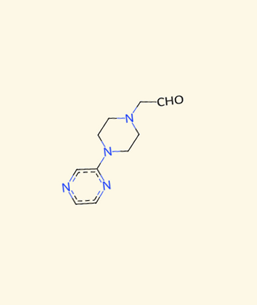 O=CCN1CCN(c2cnccn2)CC1